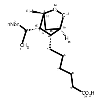 CCCCCCCCCC(C)[C@H]1[C@@H](CCCCCC(=O)O)[C@H]2C[C@H]1OO2